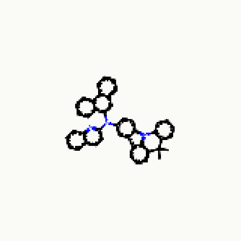 CC1(C)c2ccccc2-n2c3ccc(N(c4ccc5ccccc5n4)c4cc5ccccc5c5ccccc45)cc3c3cccc1c32